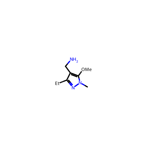 CCc1nn(C)c(OC)c1CN